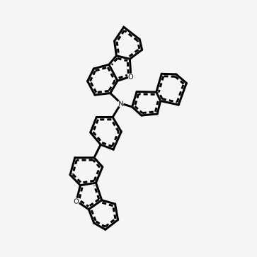 c1ccc2cc(N(c3ccc(-c4ccc5oc6ccccc6c5c4)cc3)c3cccc4c3oc3ccccc34)ccc2c1